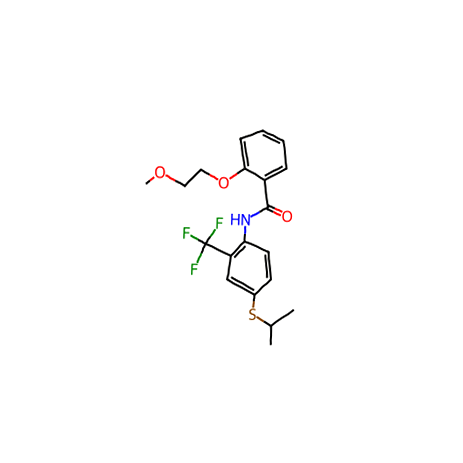 COCCOc1ccccc1C(=O)Nc1ccc(SC(C)C)cc1C(F)(F)F